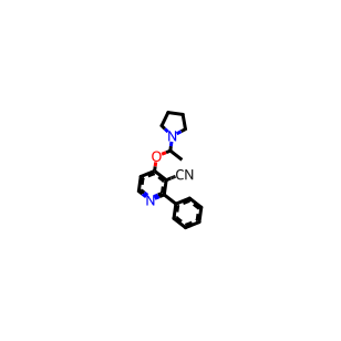 CC(Oc1ccnc(-c2ccccc2)c1C#N)N1CCCC1